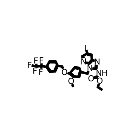 CCOC(=O)Nc1nc2cc(I)cnc2n1Cc1ccc(OCc2ccc(C(F)(F)C(F)(F)F)cc2)c(OC)c1